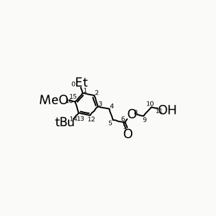 CCc1cc(CCC(=O)OCCO)cc(C(C)(C)C)c1OC